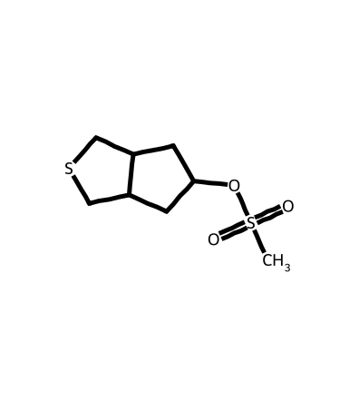 CS(=O)(=O)OC1CC2CSCC2C1